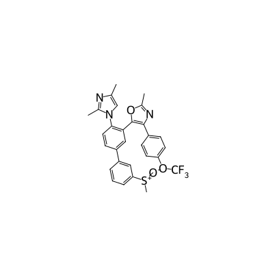 Cc1cn(-c2ccc(-c3cccc([S+](C)[O-])c3)cc2-c2oc(C)nc2-c2ccc(OC(F)(F)F)cc2)c(C)n1